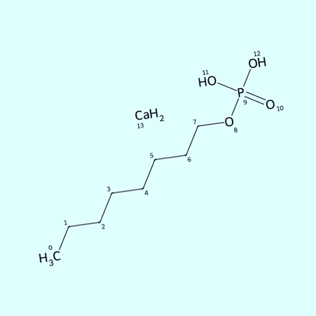 CCCCCCCCOP(=O)(O)O.[CaH2]